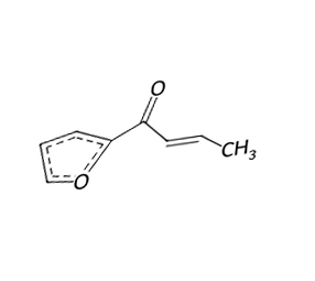 CC=CC(=O)c1ccco1